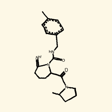 Cc1ccc(CNC(=O)N2C(=N)CCCC2C(=O)N2CCCC2C)cc1